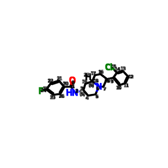 O=C(N[C@H]1CCN2C[C@H](c3ccccc3Cl)CC[C@H]2C1)c1ccc(F)cc1